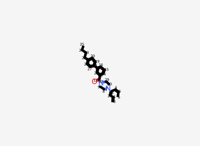 C=C/C=C(\C=C/C)N1CCN(C(=O)c2cccc(-c3ccc(CCCC)cc3)c2)CC1